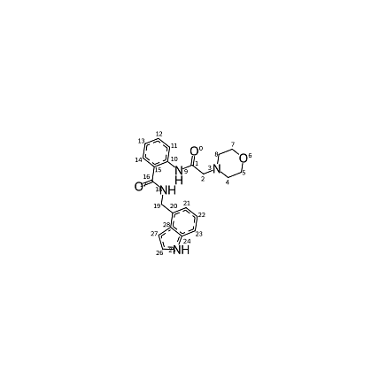 O=C(CN1CCOCC1)Nc1ccccc1C(=O)NCc1cccc2[nH]ccc12